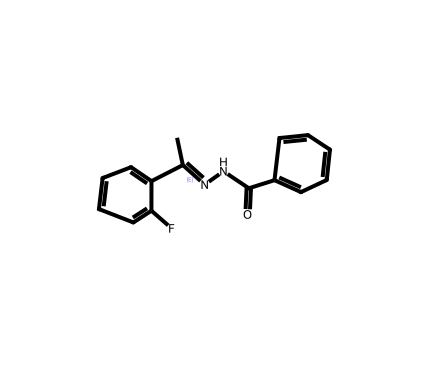 C/C(=N\NC(=O)c1ccccc1)c1ccccc1F